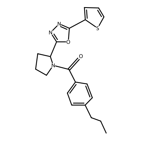 CCCc1ccc(C(=O)N2CCCC2c2nnc(-c3cccs3)o2)cc1